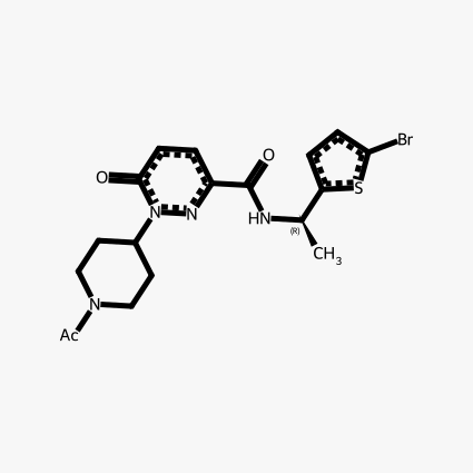 CC(=O)N1CCC(n2nc(C(=O)N[C@H](C)c3ccc(Br)s3)ccc2=O)CC1